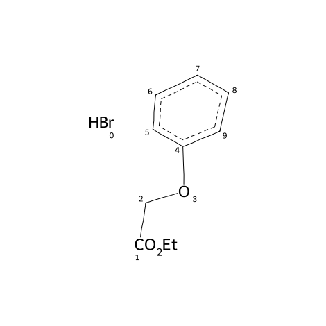 Br.CCOC(=O)COc1ccccc1